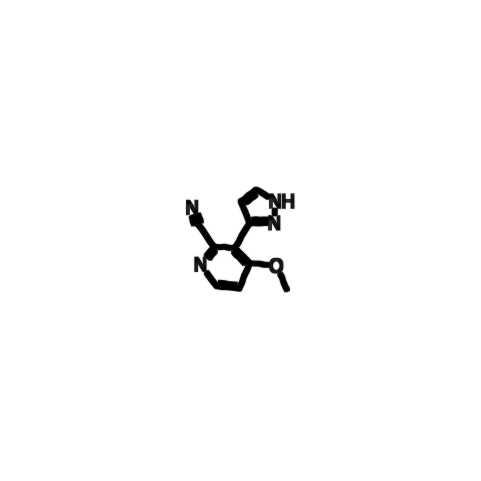 COc1ccnc(C#N)c1-c1cc[nH]n1